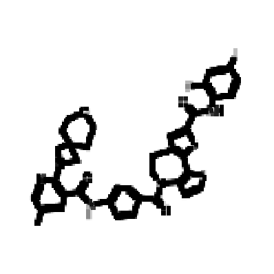 Cc1cnc(N2CC3(CCOCC3)C2)c(C(=O)Nc2ccc(C(=O)N3CCc4cc(C(=O)Nc5ccc(F)cc5F)sc4-c4sccc43)cc2)c1